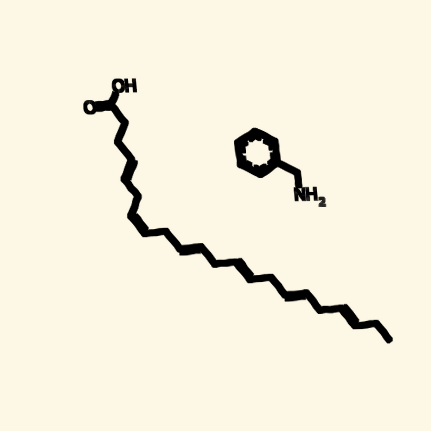 CCC=CCC=CCC=CCC=CC/C=C\C/C=C/CCC(=O)O.NCc1ccccc1